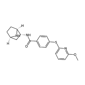 COc1cccc(Sc2ccc(C(=O)N[C@@H]3C[C@H]4CC[C@@H]3N4)cc2)n1